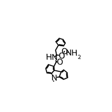 Cn1c2ccccc2c2c(C(=O)NC(Cc3ccccc3)OON)cccc21